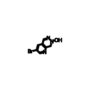 ON1Cc2ncc(Br)cc2C=N1